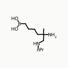 CCCNCC(C)(N)CCCCB(O)O